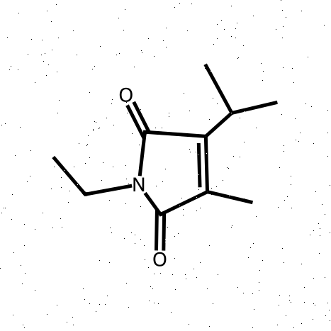 CCN1C(=O)C(C)=C(C(C)C)C1=O